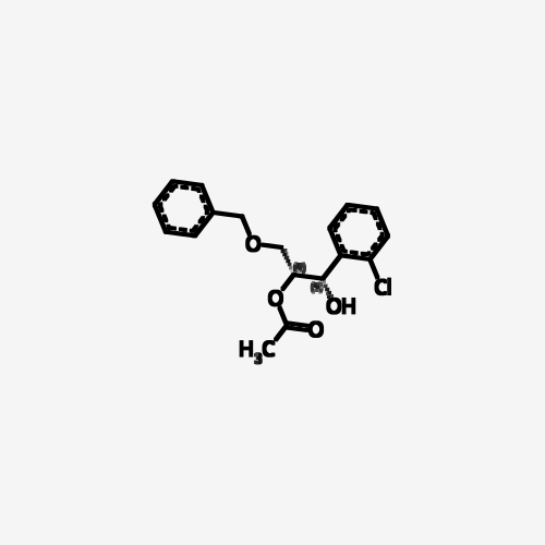 CC(=O)O[C@H](COCc1ccccc1)[C@@H](O)c1ccccc1Cl